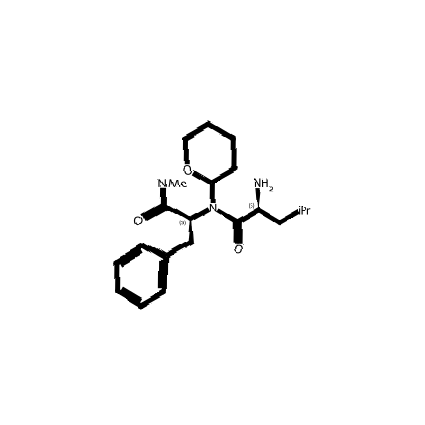 CNC(=O)[C@H](Cc1ccccc1)N(C(=O)[C@@H](N)CC(C)C)C1CCCCO1